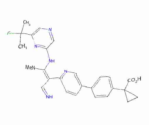 CN/C(Nc1cncc(C(C)(C)F)n1)=C(\C=N)c1ccc(-c2ccc(C3(C(=O)O)CC3)cc2)cn1